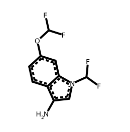 Nc1cn(C(F)F)c2cc(OC(F)F)ccc12